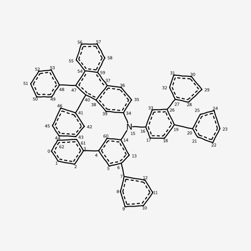 c1ccc(-c2cc(-c3ccccc3)cc(N(c3ccc(-c4ccccc4)c(-c4ccccc4)c3)c3ccc4c(c3)c(-c3ccccc3)c(-c3ccccc3)c3ccccc34)c2)cc1